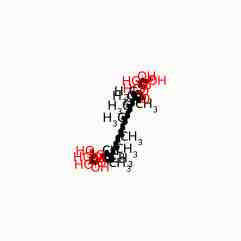 CC1=C(/C=C/C(C)=C/C=C/C(C)=C/C=C/C=C(C)/C=C/C=C(C)/C=C/C2=C(C)C(=O)[C@@H](O[C@@H]3O[C@H](CO)[C@@H](O)[C@H](O)[C@H]3O)CC2(C)C)C(C)(C)C[C@H](O[C@@H]2O[C@H](CO)[C@@H](O)[C@H](O)[C@H]2O)C1=O